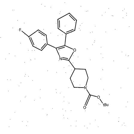 CC(C)(C)OC(=O)N1CCC(c2nc(-c3ccc(F)cc3)c(-c3ccccc3)o2)CC1